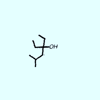 CCC(O)([CH]C(C)C)CC